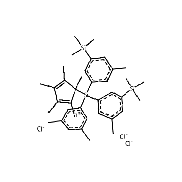 CC1=C(C)C(C)([Si](c2cc(C)cc(C)c2)(c2cc(C)cc([Si](C)(C)C)c2)c2cc(C)cc([Si](C)(C)C)c2)[C]([Ti+3])=C1C.[Cl-].[Cl-].[Cl-]